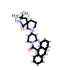 CC1(C)CC2(CCCN(C3CCN(C(=O)c4c5ccccc5cc5ccccc45)CC3)C2)C(=O)N1